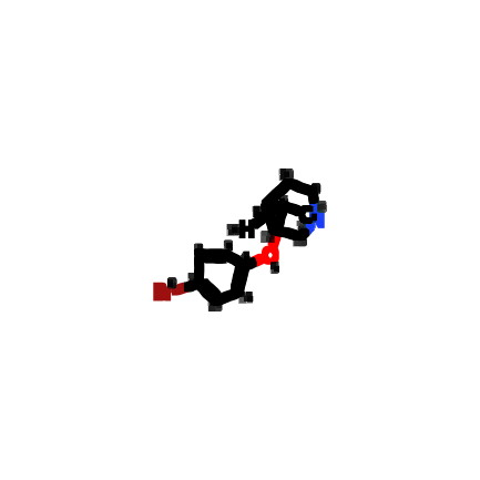 Brc1ccc(O[C@H]2CN3CCC2CC3)cc1